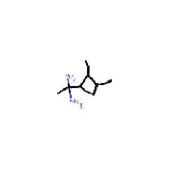 CC1CC(C(C)(N)N)C1C